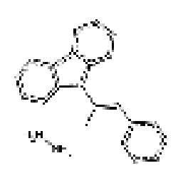 CC(=Cc1ccccc1)n1c2ccccc2c2ccccc21.NN